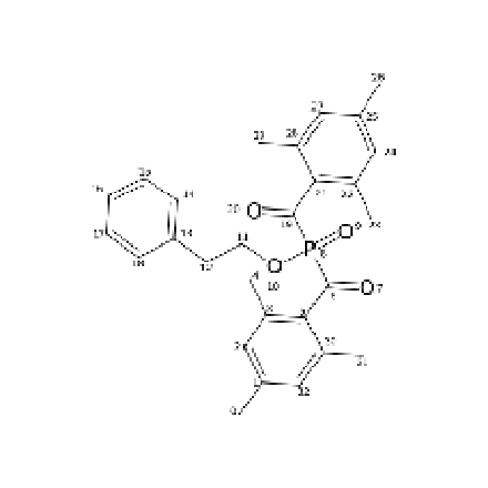 Cc1cc(C)c(C(=O)P(=O)(OCCc2ccccc2)C(=O)c2c(C)cc(C)cc2C)c(C)c1